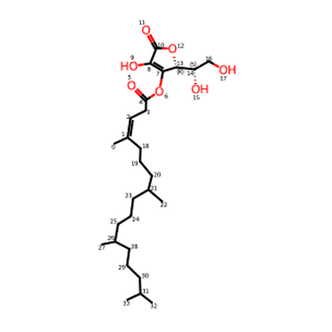 CC(=CCC(=O)OC1=C(O)C(=O)O[C@@H]1[C@@H](O)CO)CCCC(C)CCCC(C)CCCC(C)C